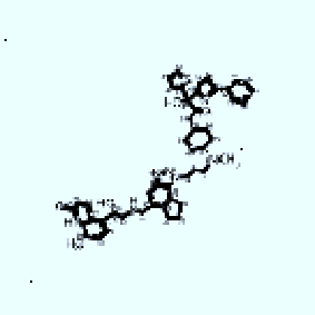 CN(CCCn1nnc2cc(CNC[C@H](O)c3ccc(O)c4[nH]c(=O)ccc34)c3c(c21)CCC3)[C@H]1CC[C@H](CC(=O)[C@](O)(c2cccs2)c2ccc(-c3ccccc3)s2)CC1